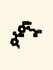 CCN(CC)CCOc1cc(NC(=O)c2cccc(I)c2)ccc1OC